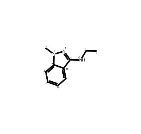 CCNc1nn(C)c2ccccc12